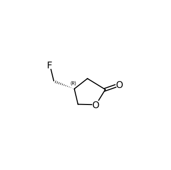 O=C1C[C@@H](CF)CO1